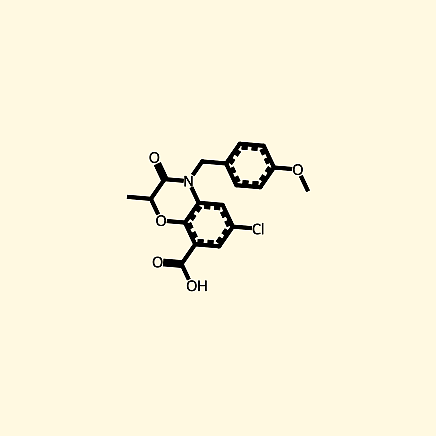 COc1ccc(CN2C(=O)C(C)Oc3c(C(=O)O)cc(Cl)cc32)cc1